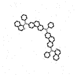 c1ccc(N(c2ccc3c(ccc4cc(N(c5ccccc5)c5nccc6ccccc56)ccc43)c2)c2ccc3c(ccc4cc(N(c5ccccc5)c5nccc6ccccc56)ccc43)c2)cc1